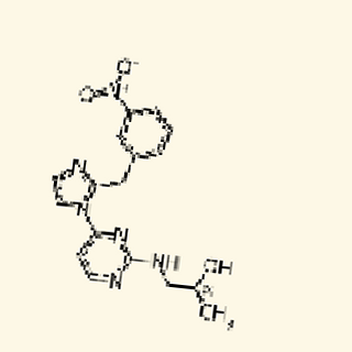 C[C@H](O)CNc1nccc(-n2ccnc2Cc2cccc([N+](=O)[O-])c2)n1